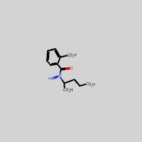 N=[N+](C(=O)c1ccccc1C(=O)O)C(CCC(=O)O)C(=O)O